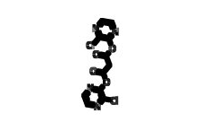 O=C(CC(=O)Oc1nccnc1Cl)Oc1nccnc1Cl